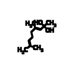 CC(C)=CCCC(C)=CC(C)(O)O